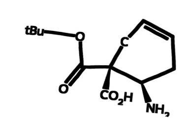 CC(C)(C)OC(=O)[C@]1(C(=O)O)CC=CC[C@H]1N